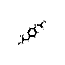 CC(C)C(=O)Cc1ccc(OC(=O)C(C)C)cc1